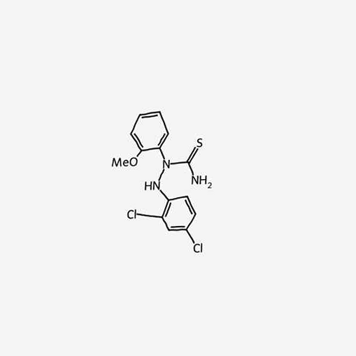 COc1ccccc1N(Nc1ccc(Cl)cc1Cl)C(N)=S